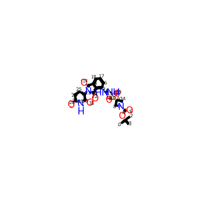 CC(C)(C)OC(=O)N1CC(S(=O)(=O)NNc2cccc3c2C(=O)N(C2CCC(=O)NC2=O)C3=O)C1